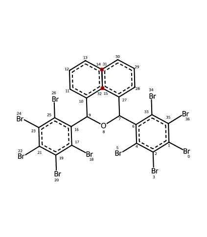 Brc1c(Br)c(Br)c(C(OC(c2ccccc2)c2c(Br)c(Br)c(Br)c(Br)c2Br)c2ccccc2)c(Br)c1Br